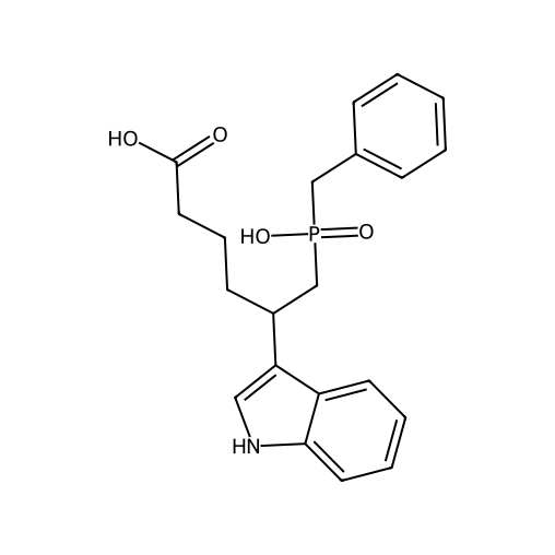 O=C(O)CCCC(CP(=O)(O)Cc1ccccc1)c1c[nH]c2ccccc12